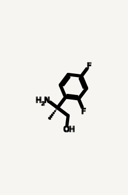 C[C@@](N)(CO)c1ccc(F)cc1F